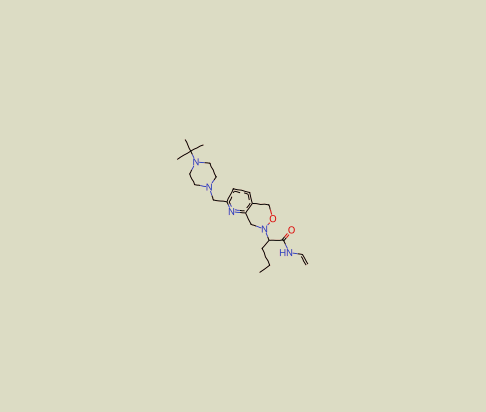 C=CNC(=O)C(CCC)N1Cc2nc(CN3CCN(C(C)(C)C)CC3)ccc2CO1